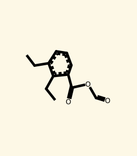 CCc1cccc(C(=O)OC=O)c1CC